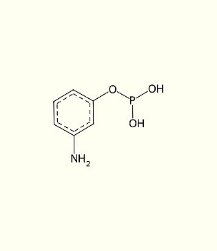 Nc1cccc(OP(O)O)c1